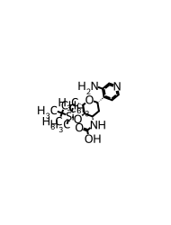 C[C@@H]1O[C@H](c2ccncc2N)C[C@H](NC(=O)O)[C@H]1O[Si](C)(C)C(C)(C)C